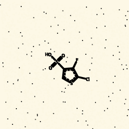 O=S(=O)(O)c1csc(Cl)c1F